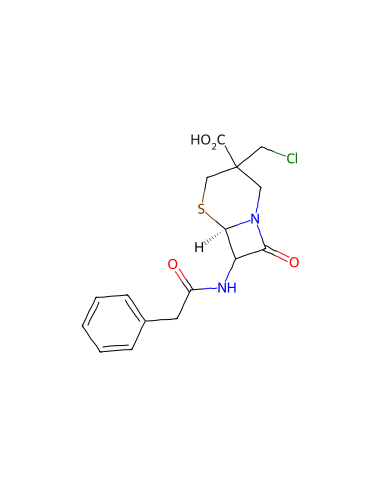 O=C(Cc1ccccc1)NC1C(=O)N2CC(CCl)(C(=O)O)CS[C@H]12